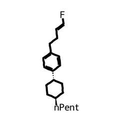 CCCCC[C@H]1CC[C@H](c2ccc(CCC=CF)cc2)CC1